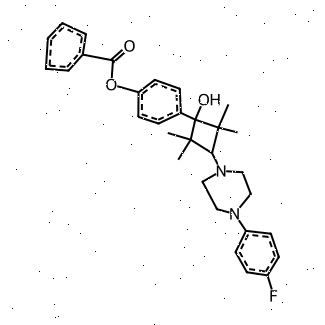 CC1(C)C(N2CCN(c3ccc(F)cc3)CC2)C(C)(C)C1(O)c1ccc(OC(=O)c2ccccc2)cc1